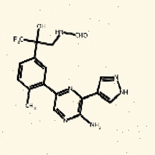 Cc1ccc(C(O)(CNC=O)C(F)(F)F)cc1-c1cnc(N)c(-c2cn[nH]c2)n1